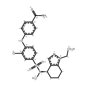 CN([C@@H]1CCCc2c1cnn2CC(=O)O)S(=O)(=O)c1ccc(Oc2ccc(C(N)=O)cc2)c(Cl)c1